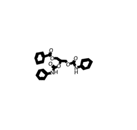 O=C(Nc1ccccc1)OCC(COC(=O)c1ccccc1)OC(=O)Nc1ccccc1